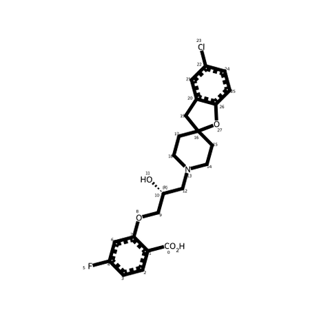 O=C(O)c1ccc(F)cc1OC[C@H](O)CN1CCC2(CC1)Cc1cc(Cl)ccc1O2